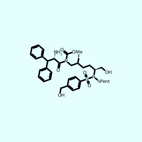 CCCCCN([C@H](CO)CCC(F)CN(C(=O)OC)C(=O)[C@@H](N)C(c1ccccc1)c1ccccc1)S(=O)(=O)c1ccc(CO)cc1